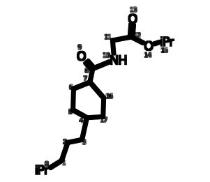 CC(C)CCCC1CCC(C(=O)NCC(=O)OC(C)C)CC1